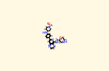 C[S+]([O-])N1CCC(Nc2ccc(-c3cc4nccnc4c(NC[C@@H]4CNCCO4)n3)cc2)CC1